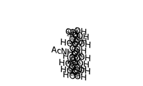 CC(=O)N[C@H]1[C@H](O[C@H]2[C@@H](O)[C@@H](CO)O[C@@H](O[C@H]3[C@H](O)[C@@H](O)[C@H](O)O[C@@H]3CO)[C@@H]2O)O[C@H](CO)[C@@H](O[C@@H]2O[C@H](CO)[C@H](O[C@H]3O[C@H](CO)[C@H](O)[C@H](O)[C@H]3O)[C@H](O)[C@H]2O)[C@@H]1O